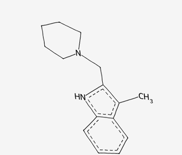 Cc1c(CN2CCCCC2)[nH]c2ccccc12